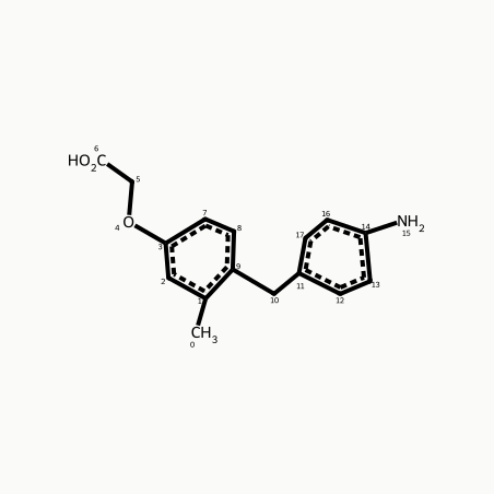 Cc1cc(OCC(=O)O)ccc1Cc1ccc(N)cc1